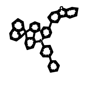 c1ccc(-c2ccc(N(c3ccc(-c4ccc5oc6ccccc6c5c4)cc3)c3cccc4c3-c3ccccc3C43c4cccc5cccc3c45)cc2)cc1